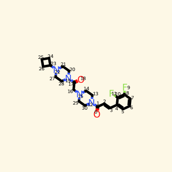 O=C(C=Cc1cccc(F)c1F)N1CCN(CC(=O)N2CCN(C3CCC3)CC2)CC1